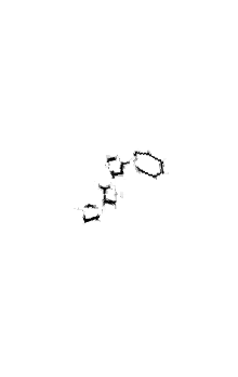 O=c1c(-n2ccnc2)c[nH]n1-c1cc(N2CCCCCC2)ncn1